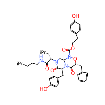 CC(C)CCCNC(=O)[C@H](CC(C)C)N1CC2N(C(=O)OCCc3ccc(O)cc3)O[C@H](Cc3ccccc3)C(=O)N2[C@@H](Cc2ccc(O)cc2)C1=O